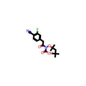 CC(C)(C)CC(C)(C)ON(C(=O)O)C(=O)Cc1ccc(C#N)c(F)c1